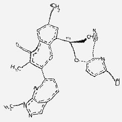 Cc1cc([C@@H](C)Oc2ccc(Cl)nc2C#N)c2oc(-c3ccc4cnn(C)c4n3)c(C)c(=O)c2c1